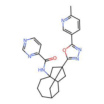 Cc1ccc(-c2nnc(C34CC5CCCC(NC(=O)c6ccncn6)(C3)C(C5)C4)o2)cn1